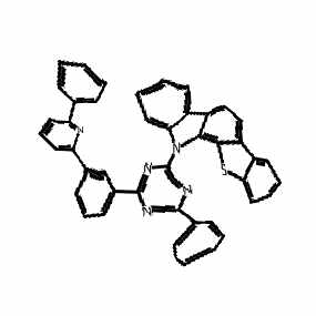 c1ccc(-c2cccc(-c3cccc(-c4nc(-c5ccccc5)nc(-n5c6ccccc6c6ccc7c8ccccc8sc7c65)n4)c3)n2)cc1